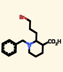 O=C(O)C1CCCN(Cc2ccccc2)C1CCCBr